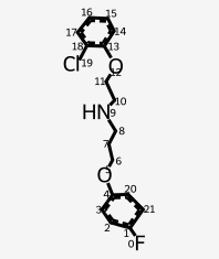 Fc1ccc(OCCCNCCOc2ccccc2Cl)cc1